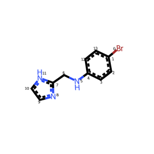 Brc1ccc(NCc2ncc[nH]2)cc1